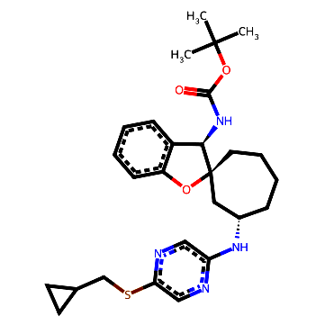 CC(C)(C)OC(=O)N[C@@H]1c2ccccc2O[C@]12CCCC[C@H](Nc1cnc(SCC3CC3)cn1)C2